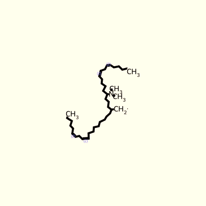 [CH2]C(CCCCCCCC/C=C\C/C=C\CCCCC)CCCC(CCCC/C=C\C/C=C\CCCCC)N(C)C